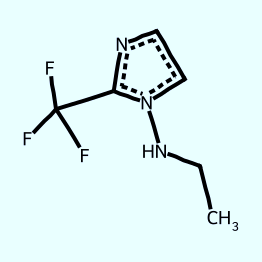 CCNn1ccnc1C(F)(F)F